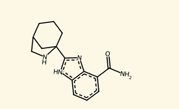 NC(=O)c1cccc2[nH]c(C34CCCC(CN3)C4)nc12